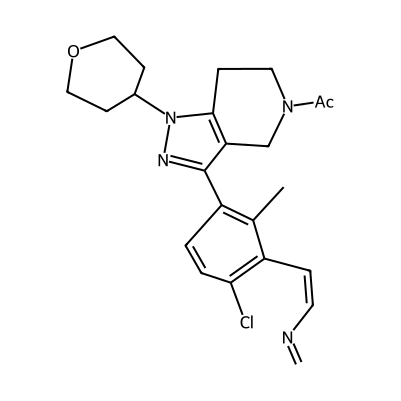 C=N/C=C\c1c(Cl)ccc(-c2nn(C3CCOCC3)c3c2CN(C(C)=O)CC3)c1C